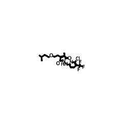 CC1=C(CCOCCC(C)C)C(=O)N(Nc2ccc(C(F)(F)F)c(Cl)n2)C1=O